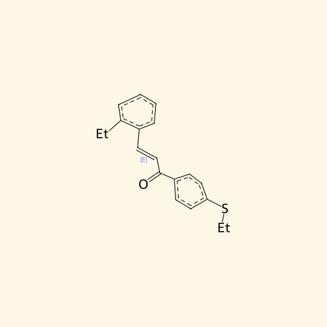 CCSc1ccc(C(=O)/C=C/c2ccccc2CC)cc1